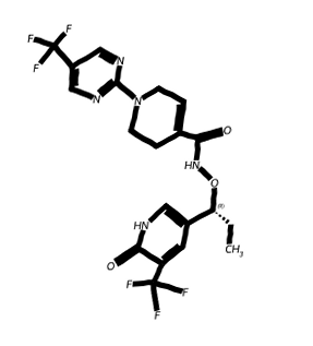 CC[C@@H](ONC(=O)C1=CCN(c2ncc(C(F)(F)F)cn2)CC1)c1c[nH]c(=O)c(C(F)(F)F)c1